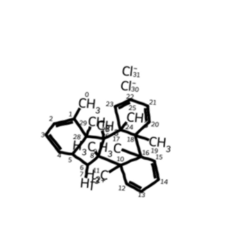 CC1=CC=CC2[CH]([Hf+2])C3(C)C4(C)C=CC=CC4(C)C4(C)C=CC=CC4(C)C3(C)C12C.[Cl-].[Cl-]